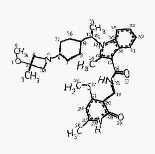 COC1(C)CN(C2CCC([C@@H](C)n3c(C)c(C(=O)NCc4c(SC)cc(C)[nH]c4=O)c4ccccc43)CC2)C1